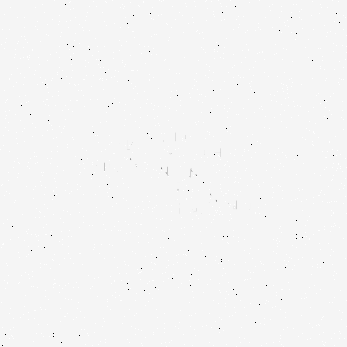 CCCCN(CCCC)CN1C(=S)N(CN(CCCC)CCCC)C(C)(C)C1=S